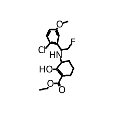 CCOC(=O)C1=C(O)C(NC(CF)c2cc(OC)ccc2Cl)CCC1